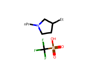 CCCN1CCC(CC)C1.O=S(=O)(O)C(F)(F)F